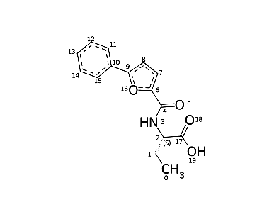 CC[C@H](NC(=O)c1ccc(-c2ccccc2)o1)C(=O)O